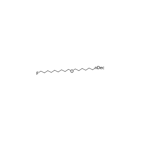 CCCCCCCCCCCCCCCCOCCCCCCCCCF